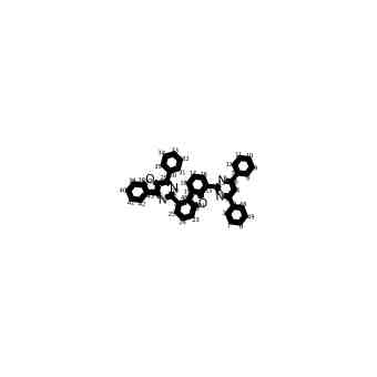 c1ccc(-c2cc(-c3ccccc3)nc(-c3cccc4c3oc3cccc(-c5nc(-c6ccccc6)c6oc7ccccc7c6n5)c34)n2)cc1